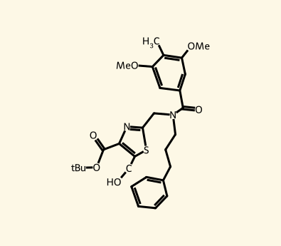 COc1cc(C(=O)N(CCCc2ccccc2)Cc2nc(C(=O)OC(C)(C)C)c(CO)s2)cc(OC)c1C